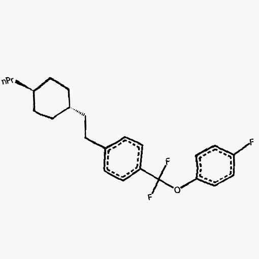 CCC[C@H]1CC[C@H](CCc2ccc(C(F)(F)Oc3ccc(F)cc3)cc2)CC1